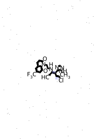 C#C/C(NC(=O)Cn1c(=O)ccc2cc(C(F)(F)F)ccc21)=C(\C=C(/C)Cl)c1ncn[nH]1